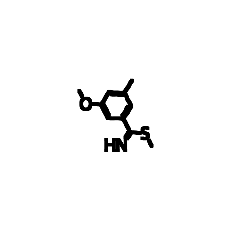 COc1cc(C)cc(C(=N)SC)c1